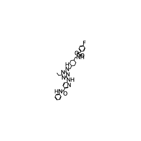 CCc1nc(NCC2CCC(CNS(=O)(=O)c3ccc(F)cc3)CC2)nc(Nc2ccc(C(=O)Nc3ccccc3)cn2)n1